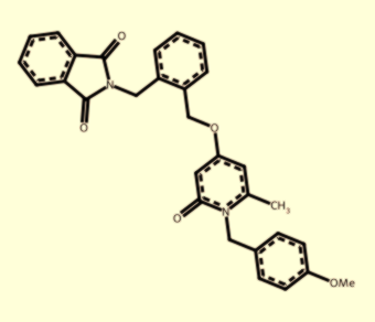 COc1ccc(Cn2c(C)cc(OCc3ccccc3CN3C(=O)c4ccccc4C3=O)cc2=O)cc1